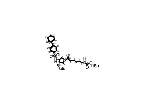 CC(C)(C)OC(=O)NCCCCCC(=O)N1C[C@H](NS(=O)(=O)c2ccc(-c3ccccc3)cc2)[C@@H](SC(C)(C)C)C1